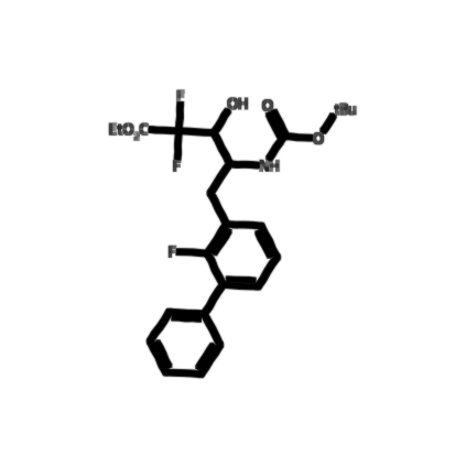 CCOC(=O)C(F)(F)C(O)C(Cc1cccc(-c2ccccc2)c1F)NC(=O)OC(C)(C)C